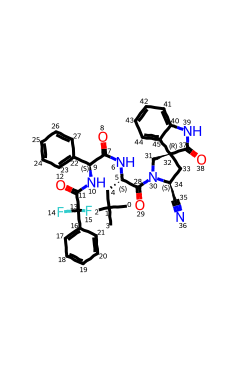 CC(C)(C)C[C@H](NC(=O)[C@@H](NC(=O)C(F)(F)c1ccccc1)c1ccccc1)C(=O)N1C[C@]2(C[C@H]1C#N)C(=O)Nc1ccccc12